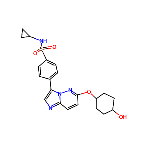 O=S(=O)(NC1CC1)c1ccc(-c2cnc3ccc(OC4CCC(O)CC4)nn23)cc1